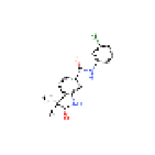 CC1(C)C(=O)Nc2cc(C(=O)Nc3cccc(Cl)c3)ccc21